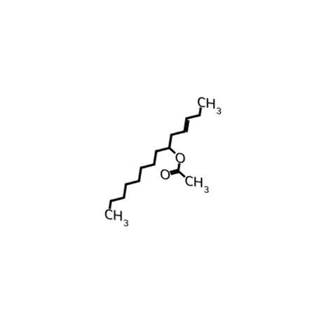 CCC=CCC(CCCCCCCC)OC(C)=O